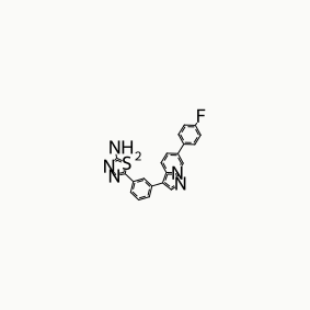 Nc1nnc(-c2cccc(-c3cnn4cc(-c5ccc(F)cc5)ccc34)c2)s1